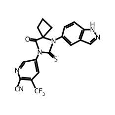 N#Cc1ncc(N2C(=O)C3(CCC3)N(c3ccc4[nH]ncc4c3)C2=S)cc1C(F)(F)F